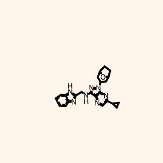 c1ccc2[nH]c(CNc3nn(C4CC5CCC(C4)O5)c4nc(C5CC5)cnc34)nc2c1